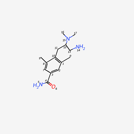 Cc1cc(C(N)=O)cc(C)c1CC(CN)N(C)C